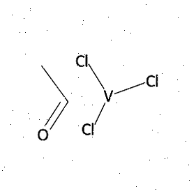 CC=O.[Cl][V]([Cl])[Cl]